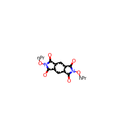 CCCOn1c(=O)c2cc3c(=O)n(OCCC)c(=O)c3cc2c1=O